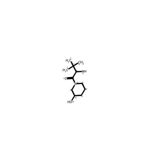 CC(C)(C)C([NH])C(=O)N1CCCC(O)C1